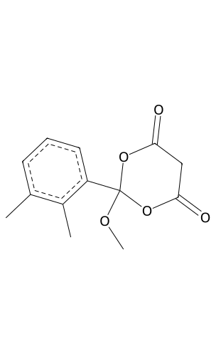 COC1(c2cccc(C)c2C)OC(=O)CC(=O)O1